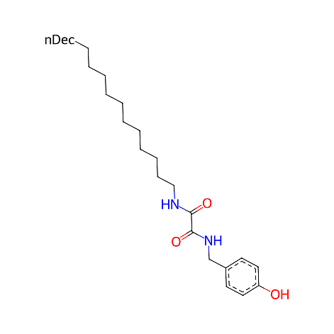 CCCCCCCCCCCCCCCCCCCCCNC(=O)C(=O)NCc1ccc(O)cc1